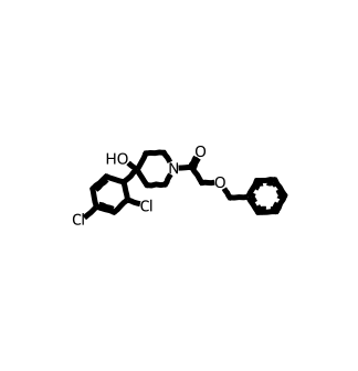 O=C(COCc1ccccc1)N1CCC(O)(C2C=CC(Cl)=CC2Cl)CC1